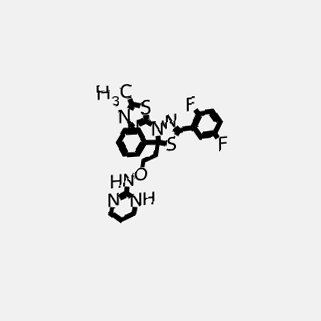 Cc1nnc(N2N=C(c3cc(F)ccc3F)SC2(CCONC2=NCCCN2)c2ccccc2)s1